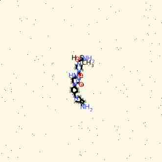 CC(C)(N)C(=O)N1CCN(C(=O)Nc2ccn(-c3ccc(CN4CC5CC(N)C5C4)cc3)c(=O)n2)CC1